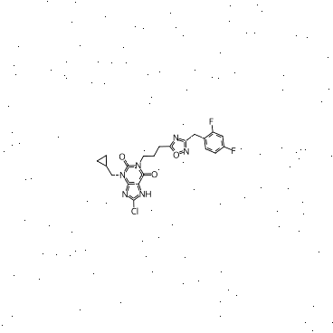 O=c1c2[nH]c(Cl)nc2n(CC2CC2)c(=O)n1CCCc1nc(Cc2ccc(F)cc2F)no1